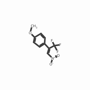 COc1ccc(C(=C[N+](=O)[O-])C(F)(F)F)cc1